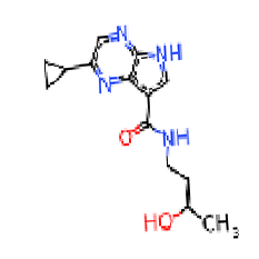 CC(O)CCNC(=O)c1c[nH]c2ncc(C3CC3)nc12